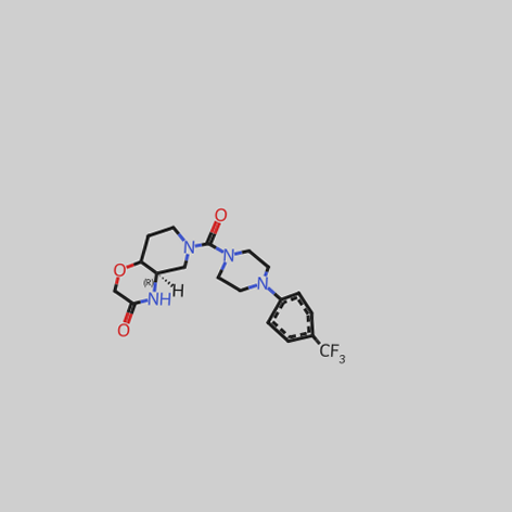 O=C1COC2CCN(C(=O)N3CCN(c4ccc(C(F)(F)F)cc4)CC3)C[C@H]2N1